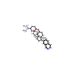 CN(C)C1CCC2CC3CC[C@@]4(C)C(c5ccc6ccncc6c5)CC[C@H]4[C@@]34CC[C@]2(C1)O4